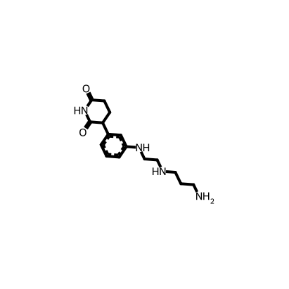 NCCCNCCNc1cccc(C2CCC(=O)NC2=O)c1